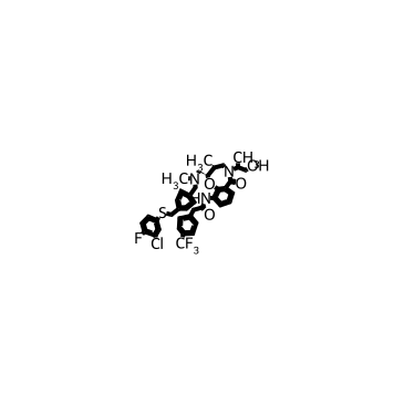 CC(CO)N1C[C@@H](C)[C@@H](CN(C)Cc2ccc(CSc3ccc(F)c(Cl)c3)cc2)Oc2c(NC(=O)Cc3ccc(C(F)(F)F)cc3)cccc2C1=O